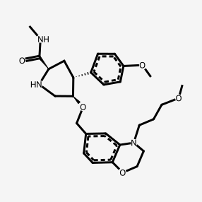 CNC(=O)[C@H]1C[C@H](c2ccc(OC)cc2)[C@@H](OCc2ccc3c(c2)N(CCCOC)CCO3)CN1